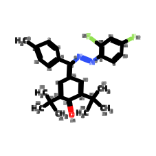 Cc1ccc(C(N=Nc2ccc(F)cc2F)=C2C=C(C(C)(C)C)C(=O)C(C(C)(C)C)=C2)cc1